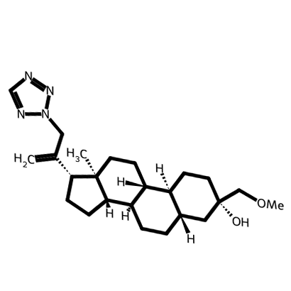 C=C(Cn1ncnn1)[C@H]1CC[C@H]2[C@@H]3CC[C@H]4C[C@](O)(COC)CC[C@@H]4[C@H]3CC[C@]12C